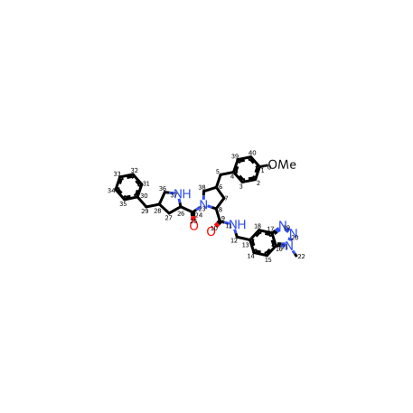 COc1ccc(CC2CC(C(=O)NCc3ccc4c(c3)nnn4C)N(C(=O)C3CC(Cc4ccccc4)CN3)C2)cc1